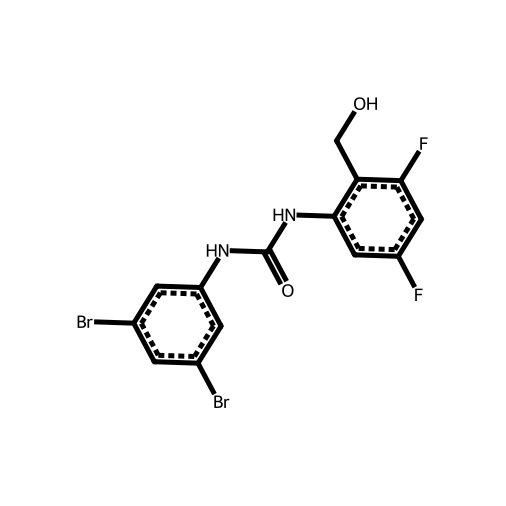 O=C(Nc1cc(Br)cc(Br)c1)Nc1cc(F)cc(F)c1CO